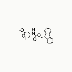 COC(=O)CC(CI)NC(=O)OCC1c2ccccc2-c2ccccc21